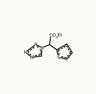 CCOC(=O)C(c1cccs1)n1cnnn1